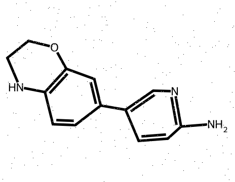 Nc1ccc(-c2ccc3c(c2)OCCN3)cn1